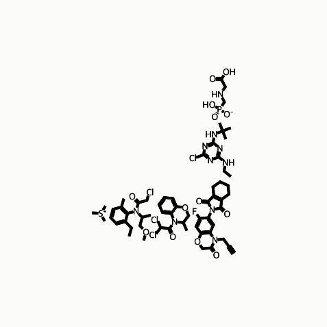 C#CCN1C(=O)COc2cc(F)c(N3C(=O)C4=C(CCCC4)C3=O)cc21.CC1COc2ccccc2N1C(=O)C(Cl)Cl.CCNc1nc(Cl)nc(NC(C)(C)C)n1.CCc1cccc(C)c1N(C(=O)CCl)C(C)COC.C[S+](C)C.O=C(O)CNCP(=O)([O-])O